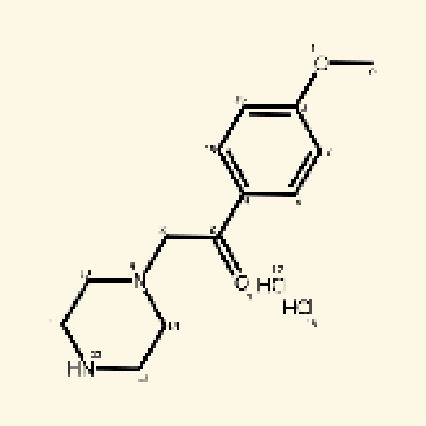 COc1ccc(C(=O)CN2CCNCC2)cc1.Cl.Cl